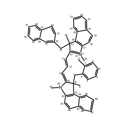 Cc1ccccc1CC1(C)/C(=C\C=C\C2=[N+](C)c3ccc4ccccc4c3C2(C)Cc2ccc3ccccc3c2)N(C)c2ccc3ccccc3c21